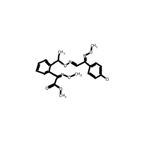 CON=C(C=NOC(C)c1ccccc1C(=NOC)C(=O)OC)c1ccc(Cl)cc1